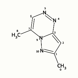 Cc1cc2nn[c]c(C)n2n1